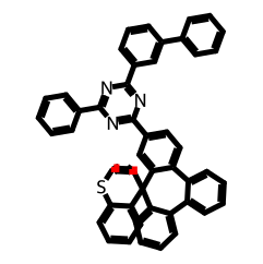 c1ccc(-c2cccc(-c3nc(-c4ccccc4)nc(-c4ccc5c(c4)C4(c6ccccc6Sc6ccccc64)c4ccccc4-c4ccccc4-5)n3)c2)cc1